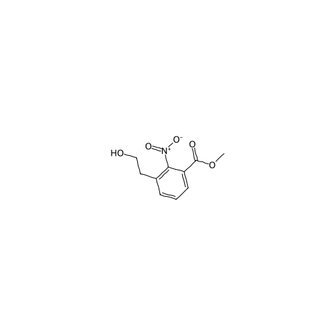 COC(=O)c1cccc(CCO)c1[N+](=O)[O-]